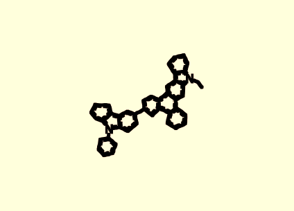 CCn1c2ccccc2c2cc3c4ccc(-c5ccc6c(c5)c5ccccc5n6-c5ccccc5)cc4c4ccccc4c3cc21